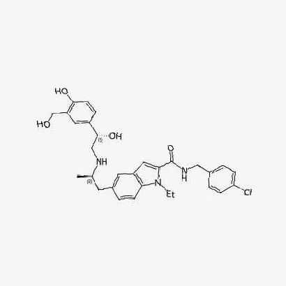 CCn1c(C(=O)NCc2ccc(Cl)cc2)cc2cc(C[C@@H](C)NC[C@@H](O)c3ccc(O)c(CO)c3)ccc21